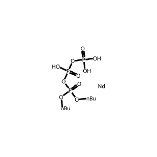 CCCCOP(=O)(OCCCC)OP(=O)(O)OP(=O)(O)O.[Nd]